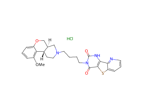 COc1cccc2c1[C@H]1CCN(CCCCn3c(=O)[nH]c4c(sc5cccnc54)c3=O)C[C@@H]1CO2.Cl